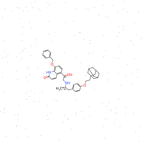 C[C@H](Cc1ccc(OCCC23CC4CC(CC(C4)C2)C3)cc1)NC[C@H](O)c1ccc(OCc2ccccc2)c2[nH]c(=O)ccc12